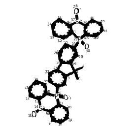 CC1(C)c2cc(P3(=O)c4ccccc4[S+]([O-])c4ccccc43)ccc2-c2ccc(P3(=O)c4ccccc4[S+]([O-])c4ccccc43)cc21